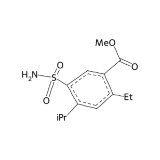 CCc1cc(C(C)C)c(S(N)(=O)=O)cc1C(=O)OC